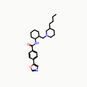 CCCCC1CCCN(CC2CCCCC2NC(=O)c2ccc(-c3cnco3)cc2)C1